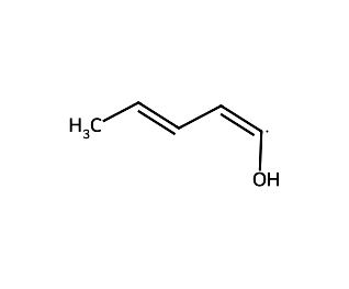 C/C=C/C=[C]\O